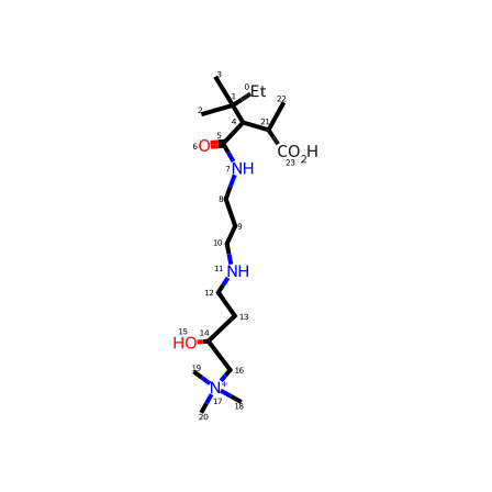 CCC(C)(C)C(C(=O)NCCCNCCC(O)C[N+](C)(C)C)C(C)C(=O)O